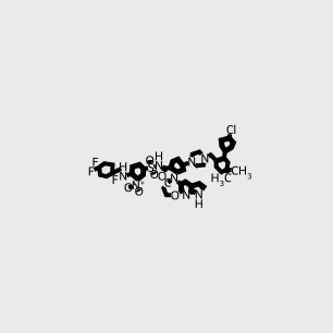 CC1(C)CCC(CN2CCN(c3ccc(C(=O)NS(=O)(=O)c4ccc(NCC5(F)CCC(F)(F)CC5)c([N+](=O)[O-])c4)c(N4CCCOc5nc6[nH]ccc6cc54)c3)CC2)=C(c2ccc(Cl)cc2)C1